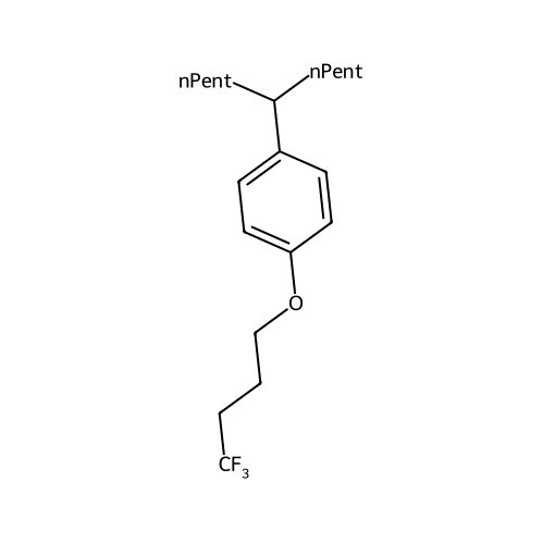 CCCCCC(CCCCC)c1ccc(OCCCC(F)(F)F)cc1